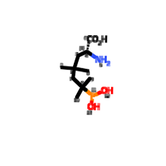 CC(C)(C[C@@H](N)C(=O)O)CC(C)(C)P(O)O